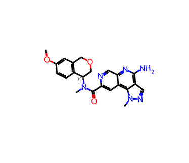 COc1ccc2c(c1)COC[C@H]2N(C)C(=O)c1cc2c(cn1)nc(N)c1cnn(C)c12